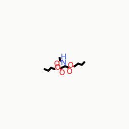 CCCCOC(=O)C(NC(C)=O)C(=O)OCCCC